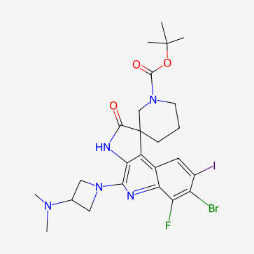 CN(C)C1CN(c2nc3c(F)c(Br)c(I)cc3c3c2NC(=O)C32CCCN(C(=O)OC(C)(C)C)C2)C1